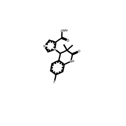 COC(=O)c1cncn1C1c2ccc(F)cc2NC(=O)C1(C)C